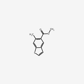 COC(=O)c1cc2ccsc2cc1C